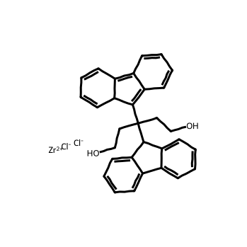 OCCC(CCO)(C1=c2ccccc2=C2C=CC=CC21)C1c2ccccc2-c2ccccc21.[Cl-].[Cl-].[Zr+2]